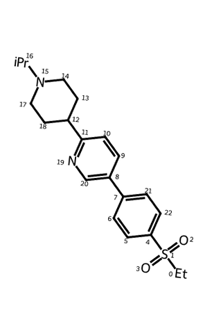 CCS(=O)(=O)c1ccc(-c2ccc(C3CCN(C(C)C)CC3)nc2)cc1